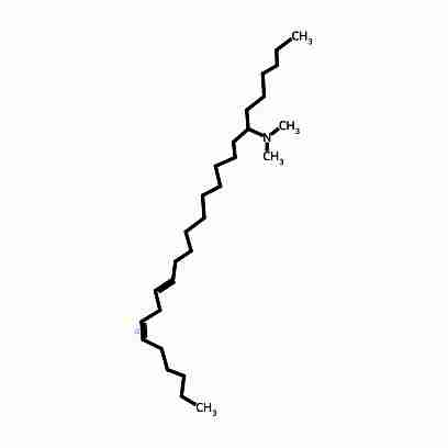 CCCCC/C=C\CC=CCCCCCCCCCC(CCCCCC)N(C)C